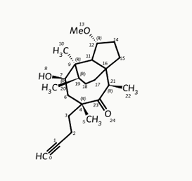 C#CCC[C@]1(C)C[C@@H](O)[C@@]2(C)C3[C@H](OC)CCC3(CC[C@H]2C)[C@@H](C)C1=O